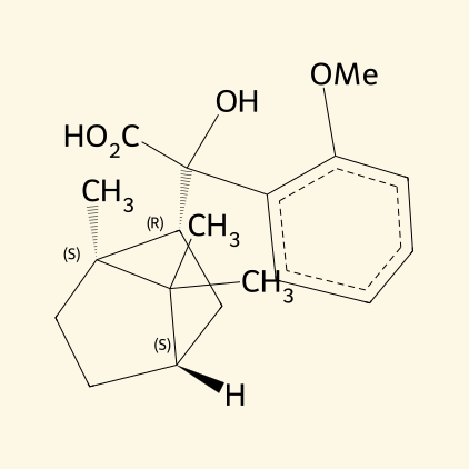 COc1ccccc1C(O)(C(=O)O)[C@@H]1C[C@@H]2CC[C@]1(C)C2(C)C